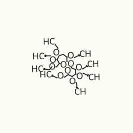 C#CCOCC1O[C@@H](O[C@@H]2OC(COCC#C)[C@@H](OCC#C)C(OCC#C)C2OCC#C)C(OCC#C)CC(OCC#C)[C@@H]1OCC#C